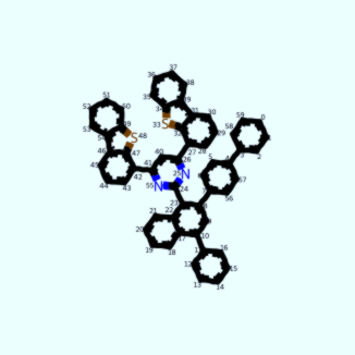 c1ccc(-c2ccc(-c3cc(-c4ccccc4)c4ccccc4c3-c3nc(-c4cccc5c4sc4ccccc45)cc(-c4cccc5c4sc4ccccc45)n3)cc2)cc1